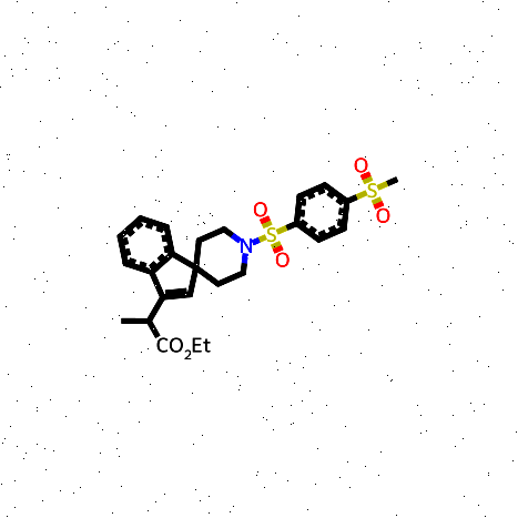 CCOC(=O)C(C)C1=CC2(CCN(S(=O)(=O)c3ccc(S(C)(=O)=O)cc3)CC2)c2ccccc21